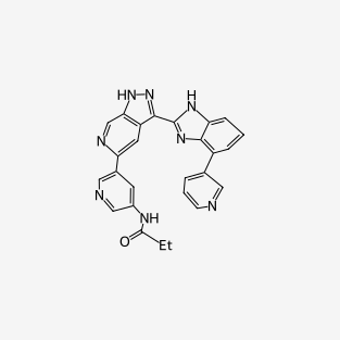 CCC(=O)Nc1cncc(-c2cc3c(-c4nc5c(-c6cccnc6)cccc5[nH]4)n[nH]c3cn2)c1